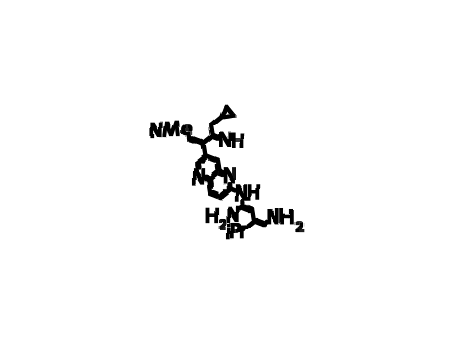 CN/C=C(\C(=N)CC1CC1)c1cnc2ccc(N/C(N)=C/C(=C\N)C(C)C)nc2c1